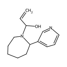 C=CC(O)N1CCCCCC1c1cccnc1